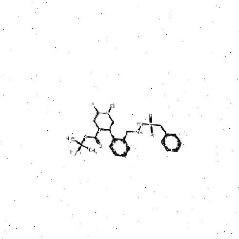 CC(C)(C)OC(=O)N1CC(F)N(Cl)CC1c1ccccc1CNNS(=O)(=O)Cc1ccccc1